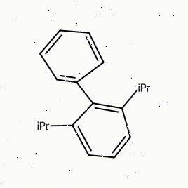 CC(C)c1cccc(C(C)C)c1-c1[c]cccc1